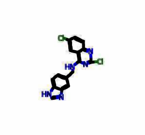 Clc1ccc2nc(Cl)nc(NCc3ccc4[nH]cnc4c3)c2c1